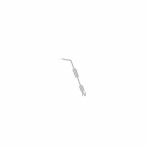 [CH2]CC#CC#N